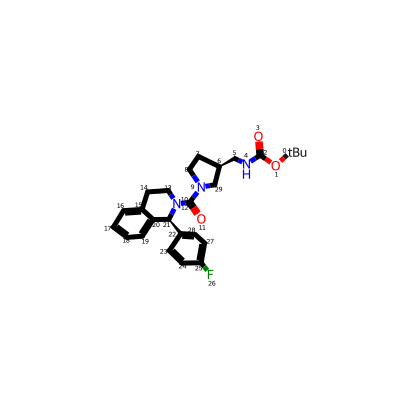 CC(C)(C)OC(=O)NC[C@@H]1CCN(C(=O)N2CCc3ccccc3[C@@H]2c2ccc(F)cc2)C1